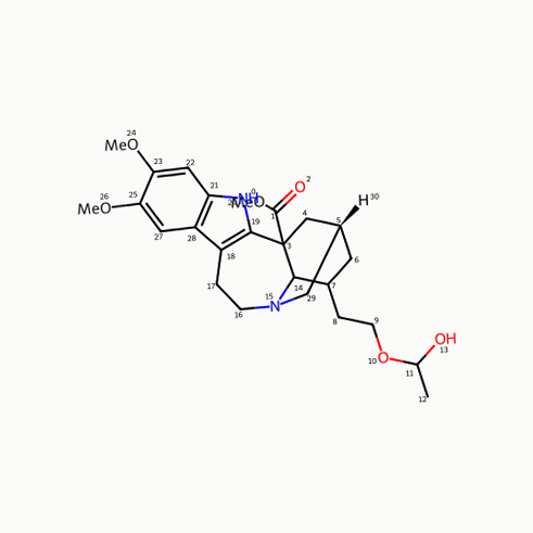 COC(=O)C12C[C@@H]3CC(CCOC(C)O)C1N(CCc1c2[nH]c2cc(OC)c(OC)cc12)C3